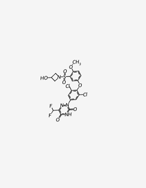 COc1ccc(Oc2c(Cl)cc(-n3nc(C(F)F)c(=O)[nH]c3=O)cc2Cl)cc1S(=O)(=O)N1CC(O)C1